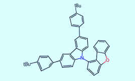 CC(C)(C)c1ccc(-c2ccc3c(c2)c2cc(-c4ccc(C(C)(C)C)cc4)ccc2n3-c2cccc3oc4ccccc4c23)cc1